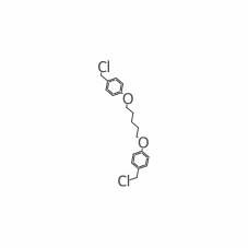 ClCc1ccc(OCCCCCOc2ccc(CCl)cc2)cc1